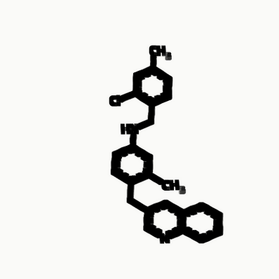 Cc1ccc(CNc2ccc(Cc3cnc4ccccc4c3)c(C)c2)c(Cl)c1